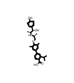 Cc1cc(-c2ccc(C(=O)O)c(C(C)C)c2)cc(C)c1OC[C@H](C)N[C@@H](C)[C@@H](O)c1ccc(O)cc1